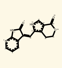 O=C1Nc2ncccc2C1=Cc1[nH]cc2c1CCOC2=O